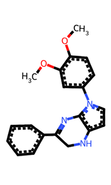 COc1ccc(-n2ccc3c2N=C(c2ccccc2)CN3)cc1OC